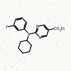 CCOC(=O)c1cnc(N(c2cccc(F)c2)C2CCCCC2)nc1